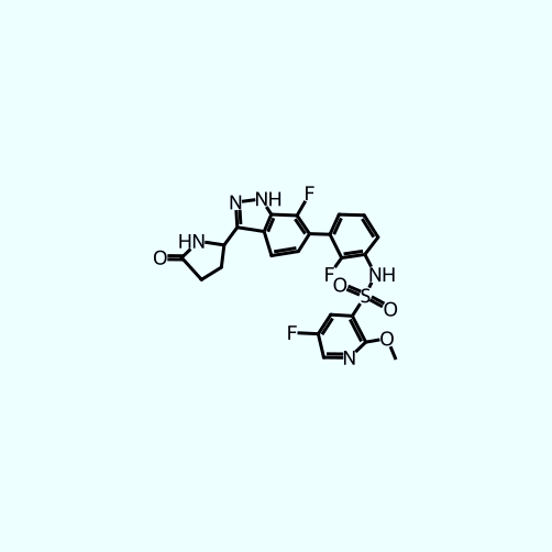 COc1ncc(F)cc1S(=O)(=O)Nc1cccc(-c2ccc3c(C4CCC(=O)N4)n[nH]c3c2F)c1F